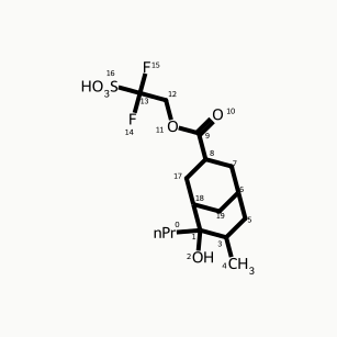 CCCC1(O)C(C)CC2CC(C(=O)OCC(F)(F)S(=O)(=O)O)CC1C2